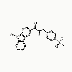 CCn1c2ccccc2c2cc(C(=O)NCc3ccc(S(C)(=O)=O)cc3)ccc21